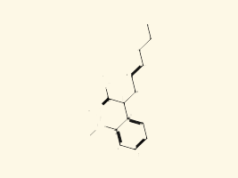 CCC/C=C/CC(C(=O)O)c1ccccc1OC